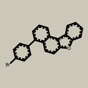 Brc1ccc(-c2cccc3c2ccc2oc4ccccc4c23)cc1